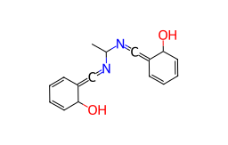 CC(N=C=C1C=CC=CC1O)N=C=C1C=CC=CC1O